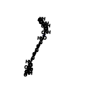 O=C(/C=C/C(=O)Nc1ccc(NC(=O)Nc2ccc3cc[nH]c3c2)cc1)NCCOCCOCCOCCOCCOCCNc1ccc2c(c1)C(=O)N(C1CCC(=O)NC1=O)C2=O